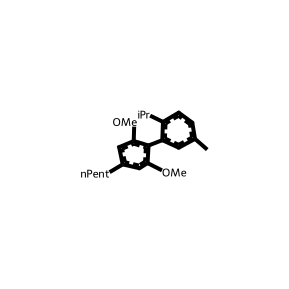 CCCCCc1cc(OC)c(-c2cc(C)ccc2C(C)C)c(OC)c1